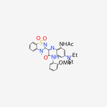 CCN(CC)c1ccc(/N=C(\C(=O)Nc2ccccc2OC)C2=NS(=O)(=O)c3ccccc3N2C)c(NC(C)=O)c1